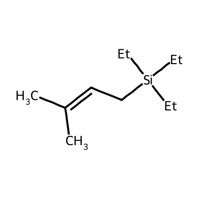 CC[Si](CC)(CC)CC=C(C)C